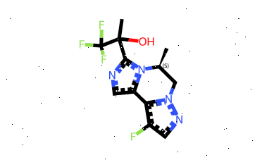 C[C@H]1Cn2ncc(F)c2-c2cnc(C(C)(O)C(F)(F)F)n21